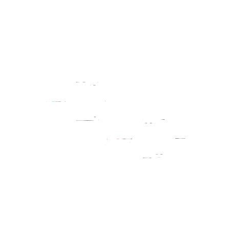 Fc1[c]cc(Oc2cccc(F)c2)cc1